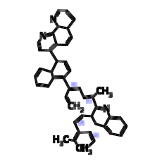 C=C/C(=C\C=C(/C)C1=Nc2ccccc2CC1/C=C\C(/C=C\CC)=C(C)C)C1=C2C=CC=CC2C(c2ccnc3c2C=CC2C=CC=NC32)C=C1